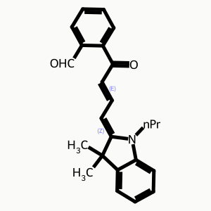 CCCN1/C(=C\C=C\C(=O)c2ccccc2C=O)C(C)(C)c2ccccc21